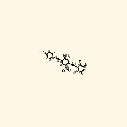 Nc1cc(C#Cc2c(F)c(F)cc(F)c2F)c([N+](=O)[O-])cc1C#Cc1ccc(S)cc1